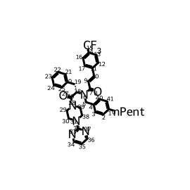 CCCCCc1ccc(CN(C(=O)/C=C/c2ccc(C(F)(F)F)cc2)[C@@H](Cc2ccccc2)C(=O)N2CCN(c3ncccn3)CC2)cc1